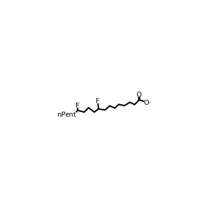 CCCCCC(F)CCCC(F)CCCCCCCC([O])=O